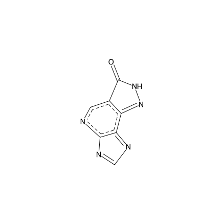 O=C1NN=c2c1cnc1c2=NC=N1